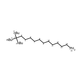 CCCCC(CCCC)(CCCC)CCCCCCCCCCCP